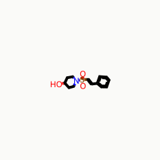 O=S(=O)(C=Cc1ccccc1)N1CCC(O)CC1